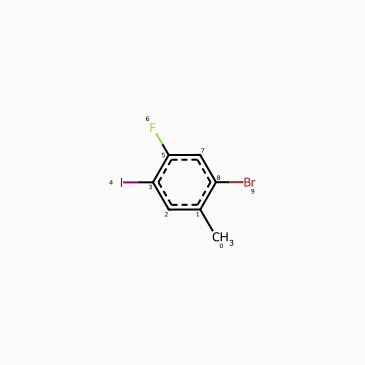 Cc1cc(I)c(F)cc1Br